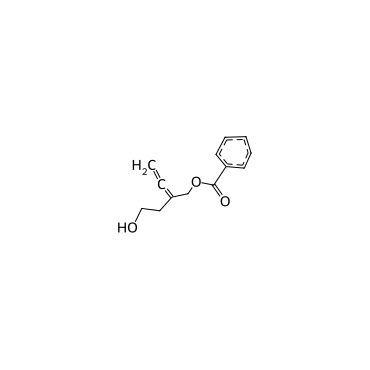 C=C=C(CCO)COC(=O)c1ccccc1